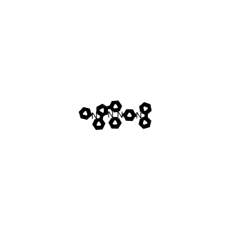 c1ccc(-n2c3ccccc3c3c2ccc2c4cccc5c4n(c23)-c2ccccc2N5c2ccc(-n3c4ccccc4c4ccccc43)cc2)cc1